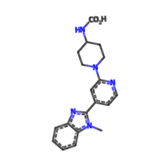 Cn1c(-c2ccnc(N3CCC(NC(=O)O)CC3)c2)nc2ccccc21